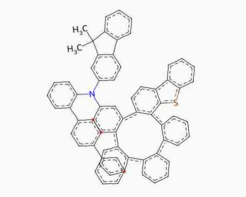 CC1(C)c2ccccc2-c2ccc(N(c3ccc4c5ccccc5c5ccccc5c5ccccc5c5c(ccc6c7ccccc7sc65)c4c3)c3ccccc3-c3ccc(-c4ccccc4)cc3)cc21